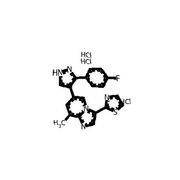 Cc1cc(-c2c[nH]nc2-c2ccc(F)cc2)cn2c(-c3nccs3)cnc12.Cl.Cl.Cl